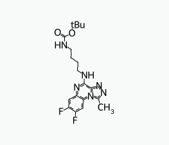 Cc1nnc2c(NCCCCNC(=O)OC(C)(C)C)nc3cc(F)c(F)cc3n12